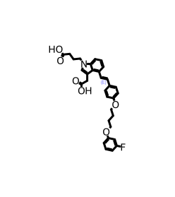 O=C(O)CCCn1cc(CC(=O)O)c2c(/C=C/c3ccc(OCCCCOc4cccc(F)c4)cc3)cccc21